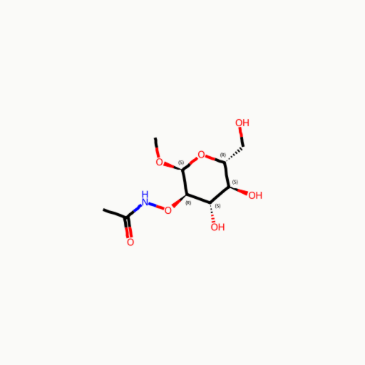 CO[C@H]1O[C@H](CO)[C@@H](O)[C@H](O)[C@H]1ONC(C)=O